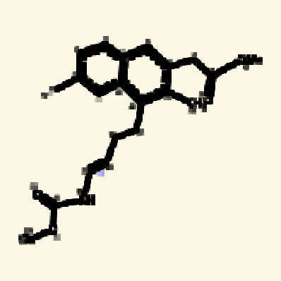 COC(=O)Cc1cc2ccc(F)cc2c(CC/C=C/NC(=O)OC(C)(C)C)c1C